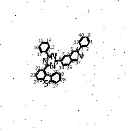 c1ccc(-c2cc3cc(-c4nc(-c5ccccc5)nc(-c5cccc6sc7ccccc7c56)n4)ccc3cn2)cc1